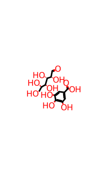 O=C(O)c1cc(O)c(O)c(O)c1.O=C[C@H](O)[C@@H](O)[C@@H](O)[C@H](O)CO